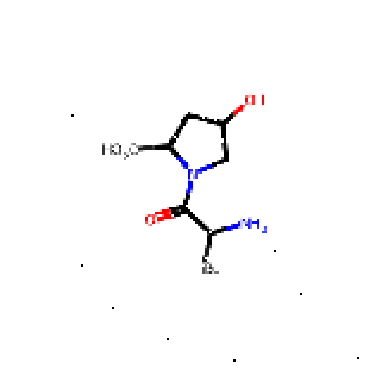 CCC(C)C(N)C(=O)N1CC(O)CC1C(=O)O